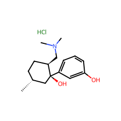 C[C@@H]1CC[C@@H](CN(C)C)[C@](O)(c2cccc(O)c2)C1.Cl